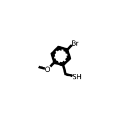 COc1ccc(Br)cc1CS